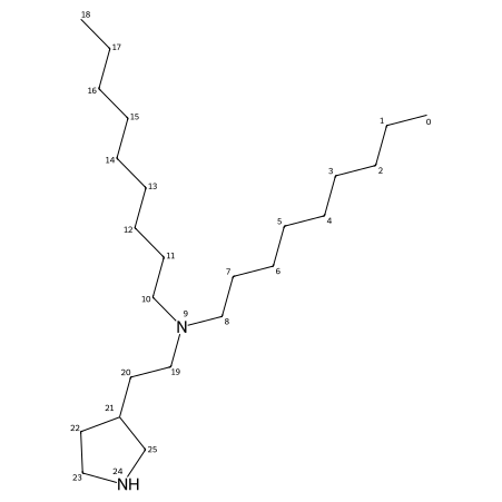 CCCCCCCCCN(CCCCCCCCC)CCC1CCNC1